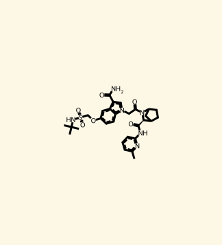 Cc1cccc(NC(=O)[C@@H]2C3CCC(C3)N2C(=O)Cn2cc(C(N)=O)c3cc(OCS(=O)(=O)NC(C)(C)C)ccc32)n1